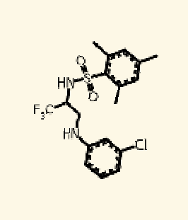 Cc1cc(C)c(S(=O)(=O)NC(CNc2cccc(Cl)c2)C(F)(F)F)c(C)c1